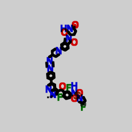 [CH2]n1cc(C(=O)c2c(F)ccc(NS(=O)(=O)N3CC[C@@H](F)C3)c2F)c2cc(-c3ccc(N4CCN(CC5CCN(c6ccc7c(c6)CN(C6CCC(=O)NC6=O)C7=O)CC5)CC4)cc3)cnc21